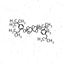 CC(C)Cc1ccc(OP2COC3(CO2)COP(Oc2ccc(C(C)(C)C)cc2CC(C)C)OC3)c(C(C)(C)C)c1